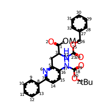 COC(=O)C(Cc1nc(-c2ccccc2)ccc1NC(=O)OC(C)(C)C)NC(=O)OCc1ccccc1